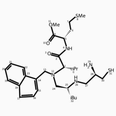 CCC[C@@H](C(=O)N[C@@H](CCSC)C(=O)OC)N(Cc1cccc2ccccc12)C[C@@H](NC[C@@H](N)CS)[C@@H](C)CC